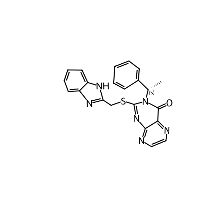 C[C@@H](c1ccccc1)n1c(SCc2nc3ccccc3[nH]2)nc2nccnc2c1=O